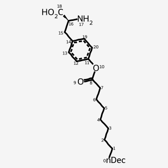 CCCCCCCCCCCCCCCCCC(=O)Oc1ccc(C[C@H](N)C(=O)O)cc1